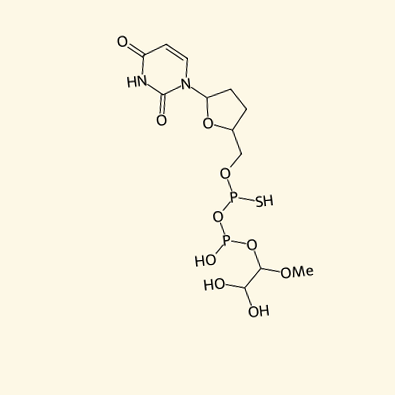 COC(OP(O)OP(S)OCC1CCC(n2ccc(=O)[nH]c2=O)O1)C(O)O